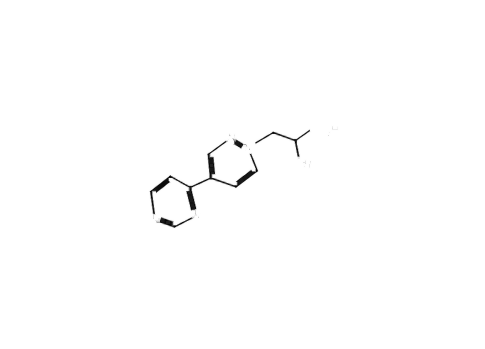 O=C(O)C(O)C[n+]1ccc(-c2ccncn2)cn1